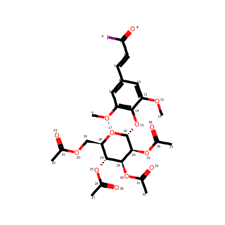 COc1cc(C=CC(=O)I)cc(OC)c1O[C@H]1O[C@H](COC(C)=O)[C@@H](OC(C)=O)[C@H](OC(C)=O)[C@@H]1OC(C)=O